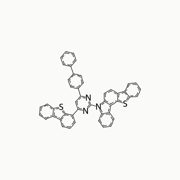 c1ccc(-c2ccc(-c3cc(-c4cccc5c4sc4ccccc45)nc(-n4c5ccccc5c5c6sc7ccccc7c6ccc54)n3)cc2)cc1